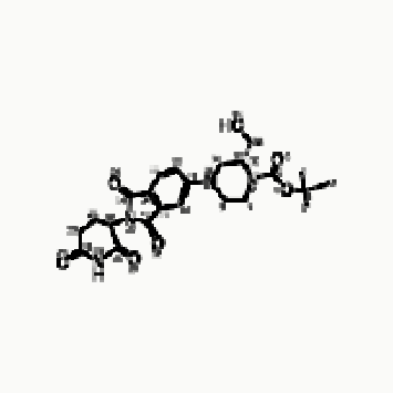 CC(C)(C)OC(=O)N1CCN(c2ccc3c(c2)C(=O)N(C2CCC(=O)NC2=O)C3=O)C[C@@H]1CO